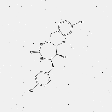 O=C1N[C@H](Cc2ccc(O)cc2)[C@H](O)[C@@H](O)[C@@H](Cc2ccc(O)cc2)N1